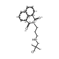 CC(C)(Cl)CNCCCN1C(=O)c2cccc3cccc(c23)C1=O